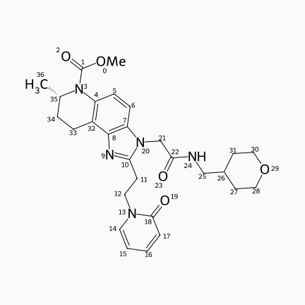 COC(=O)N1c2ccc3c(nc(CCn4ccccc4=O)n3CC(=O)NCC3CCOCC3)c2CC[C@@H]1C